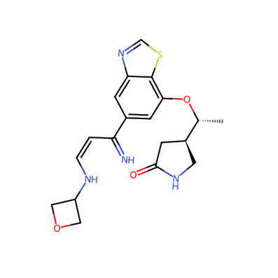 C[C@@H](Oc1cc(C(=N)/C=C\NC2COC2)cc2ncsc12)[C@H]1CNC(=O)C1